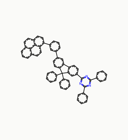 c1ccc(-c2nc(-c3ccccc3)nc(-c3ccc4c(c3)C(c3ccccc3)(c3ccccc3)c3ccc(-c5cccc(-c6ccc7ccc8cccc9ccc6c7c89)c5)cc3-4)n2)cc1